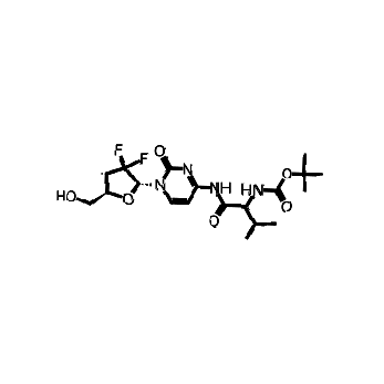 CC(C)C(NC(=O)OC(C)(C)C)C(=O)Nc1ccn([C@@H]2O[C@@H](CO)[CH]C2(F)F)c(=O)n1